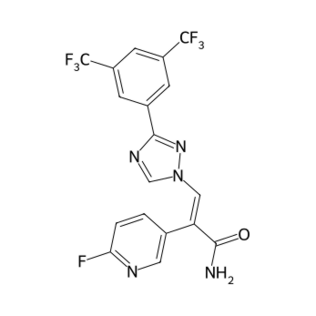 NC(=O)C(=Cn1cnc(-c2cc(C(F)(F)F)cc(C(F)(F)F)c2)n1)c1ccc(F)nc1